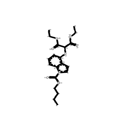 CCCCOC(=O)n1ccc2c(OC(C(=O)OCC)C(=O)OCC)cccc21